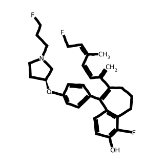 C=C(/C=C\C(C)=C/CF)C1=C(c2ccc(O[C@H]3CCN(CCCF)C3)cc2)c2ccc(O)c(F)c2CCC1